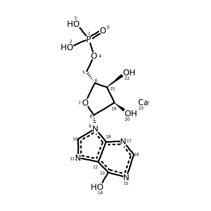 O=P(O)(O)OC[C@H]1O[C@@H](n2cnc3c(O)ncnc32)[C@H](O)[C@@H]1O.[Ca]